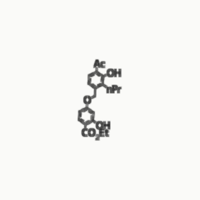 CCCc1c(COc2ccc(C(=O)OCC)c(O)c2)ccc(C(C)=O)c1O